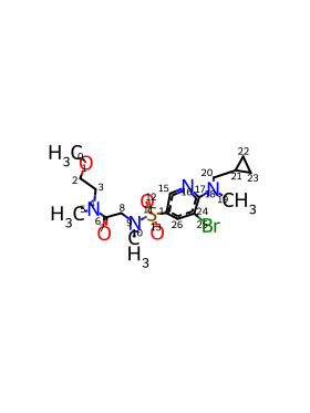 COCCN(C)C(=O)CN(C)S(=O)(=O)c1cnc(N(C)CC2CC2)c(Br)c1